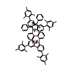 Cc1cc(C)c(-c2ccc3c(c2)c2cc(-c4c(C)cc(C)cc4C)ccc2n3-c2cccc(-c3nc(-c4ccccc4)nc(-c4ccccc4)n3)c2-c2c(-n3c4ccc(-c5c(C)cc(C)cc5C)cc4c4cc(-c5c(C)cc(C)cc5C)ccc43)cccc2C(F)(F)F)c(C)c1